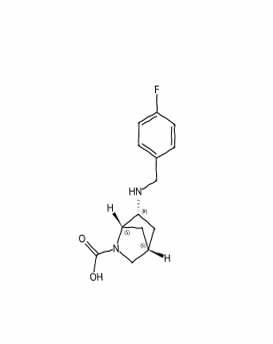 O=C(O)N1C[C@H]2C[C@@H](NCc3ccc(F)cc3)[C@@H]1C2